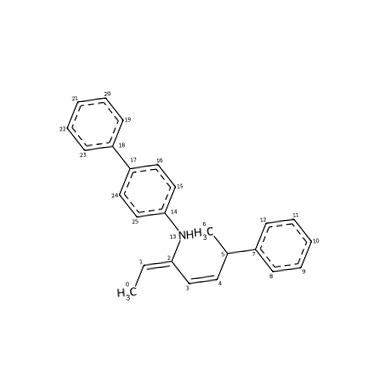 C/C=C(\C=C/C(C)c1ccccc1)Nc1ccc(-c2ccccc2)cc1